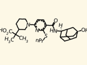 CCCSc1nc(N2CCCC(C(C)(C)C(=O)O)C2)ccc1C(=O)N[C@H]1C2CC3CC1C[C@@](O)(C3)C2